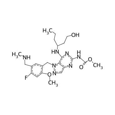 CCCC(CCO)Nc1nc(NC(=O)OC)nc2cnn(Cc3cc(CNC)c(F)cc3OC)c12